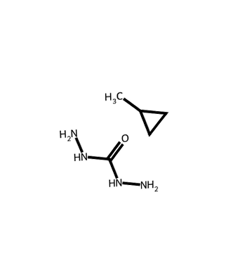 CC1CC1.NNC(=O)NN